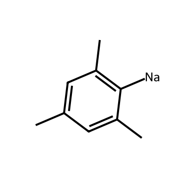 Cc1cc(C)[c]([Na])c(C)c1